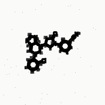 N#Cc1cccc(N2CC(N3CN(c4ccccc4Cl)C=C4N=CN=C43)CC2=O)c1